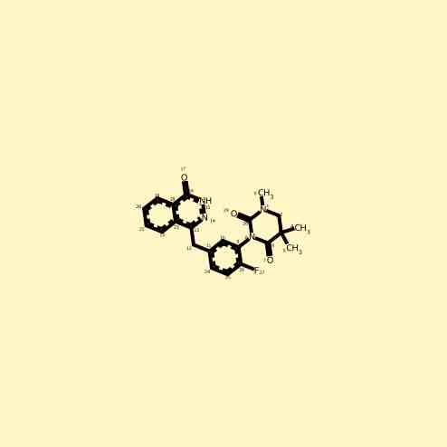 CN1CC(C)(C)C(=O)N(c2cc(Cc3n[nH]c(=O)c4ccccc34)ccc2F)C1=O